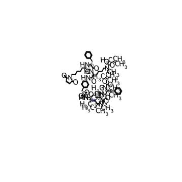 C/C(=C\[C@H](C(C)C)N(C)C(=O)[C@@H](NC(=O)[C@@H](N(C)C(=O)OC(C)(C)C)C(C)(C)c1ccccc1)C(C)(C)C)C(=O)NS(=O)(=O)Cc1ccc(NC(=O)[C@@H](CCCCN(C)C(=O)OC(C)(C)C)NC(=O)[C@@H](Cc2ccccc2)NC(=O)CCCCCN2C(=O)C=CC2=O)cc1